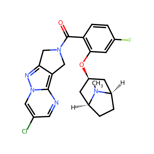 CN1[C@@H]2CC[C@H]1C[C@@H](Oc1cc(F)ccc1C(=O)N1Cc3nn4cc(Cl)cnc4c3C1)C2